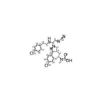 CN(CCC1CN(C(C=NC#N)NCCc2ccc(Cl)cc2)N=C1c1ccc(Cl)cc1)C(=O)O